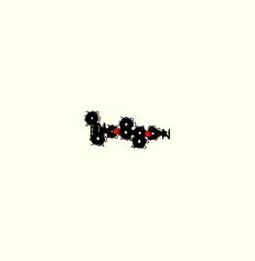 N#Cc1ccc(-c2ccc(-c3ccc(-c4ccc(-c5nc(-c6ccccc6)nc6ccccc56)cc4)c4ccccc34)c3ccccc23)cc1